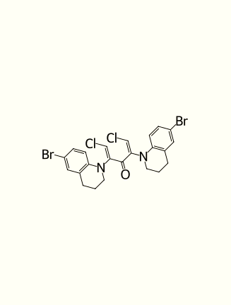 O=C(C(=CCl)N1CCCc2cc(Br)ccc21)C(=CCl)N1CCCc2cc(Br)ccc21